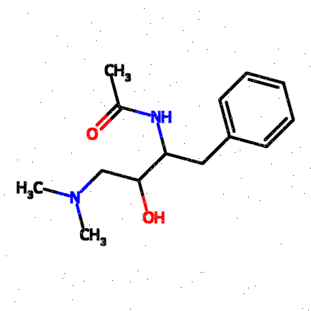 CC(=O)NC(Cc1ccccc1)C(O)CN(C)C